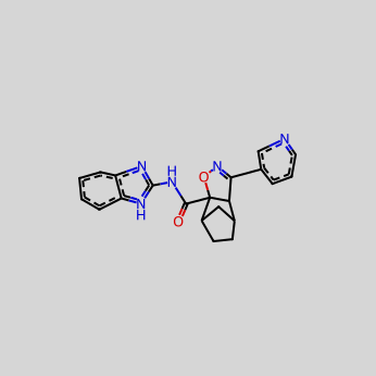 O=C(Nc1nc2ccccc2[nH]1)C12ON=C(c3cccnc3)C1C1CCC2C1